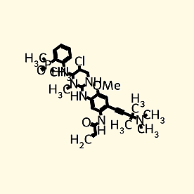 C=CC(=O)Nc1cc(NC2NCC(Cl)C(Nc3ccccc3P(C)(C)=O)N2C)c(OC)cc1C#CC(C)(C)N(C)C